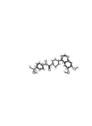 COc1cc2ncnc(C3CCN(C(=O)Nc4ccc(C(C)O)cc4)CC3)c2cc1OC